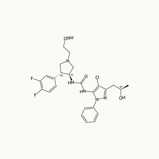 COCCN1C[C@@H](NC(=O)Nc2c(Cl)c(C[C@@H](C)O)nn2-c2ccccc2)[C@H](c2ccc(F)c(F)c2)C1